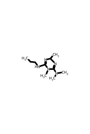 CCCNC1=NC(C)N=C(N(C)C)N1C